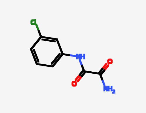 NC(=O)C(=O)Nc1cccc(Cl)c1